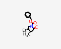 CC[C@H]1CN(C(=O)OCc2ccccc2)C(=O)CC1C